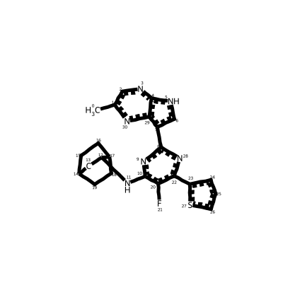 Cc1cnc2[nH]cc(-c3nc(NC4CC5CCC4CC5)c(F)c(-c4cccs4)n3)c2n1